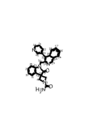 NC(=O)N1CC2(C1)C(=O)N(Cc1ncc3ccccc3c1-c1cccnc1)c1ccccc12